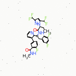 CCC(C(=O)N[C@@H](Cc1cc(F)cc(F)c1)c1ncccc1-c1ccc(F)c(C(=O)NC)c1)n1nc(C(F)F)cc1C(F)F